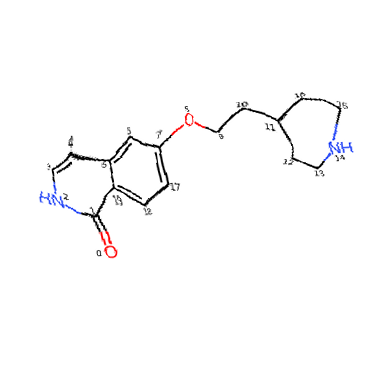 O=c1[nH]ccc2cc(OCCC3CCNCC3)ccc12